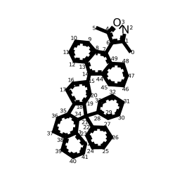 Cc1noc(C)c1-c1c2ccccc2c(-c2ccc3c(c2)C(c2ccccc2)(c2ccccc2)c2c-3ccc3ccccc23)c2ccccc12